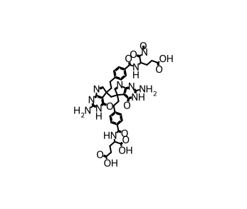 Nc1nc2c(c(=O)[nH]1)C(CCc1ccc(C(=O)NC(CCC(=O)O)C(=O)O)cc1)(CC1(CCc3ccc(C(=O)NC(CCC(=O)O)C(=O)N=O)cc3)C=Nc3nc(N)[nH]c(=O)c31)C=N2